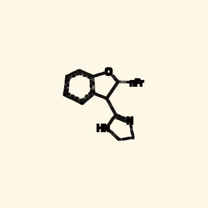 CCCC1Oc2ccccc2C1C1=NCCN1